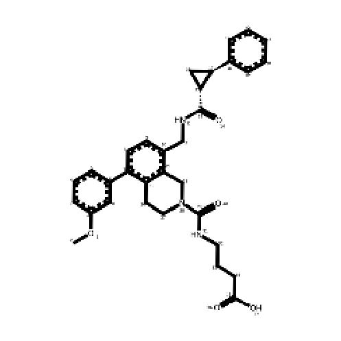 COc1cccc(-c2ccc(CNC(=O)[C@@H]3C[C@H]3c3ccccc3)c3c2CCN(C(=O)NCCCC(=O)O)C3)c1